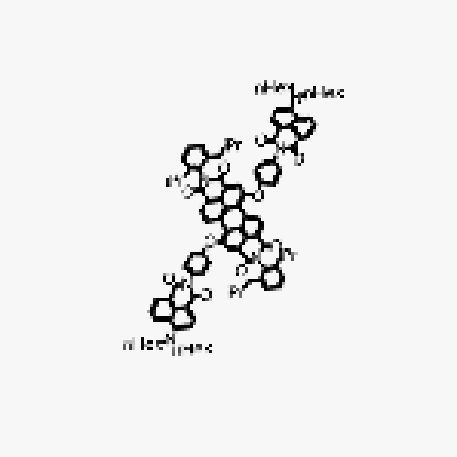 CCCCCCN(CCCCCC)c1ccc2c3c(cccc13)C(=O)N(c1ccc(Oc3cc4c5c(ccc6c7c(Oc8ccc(N9C(=O)c%10cccc%11c(N(CCCCCC)CCCCCC)ccc(c%10%11)C9=O)cc8)cc8c9c(ccc(c3c56)c97)C(=O)N(c3c(CC(C)C)cccc3C(C)C)C8=O)C(=O)N(c3c(CC(C)C)cccc3C(C)C)C4=O)cc1)C2=O